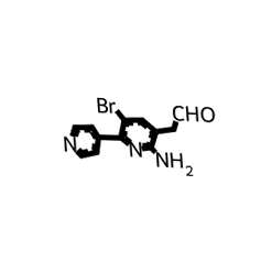 Nc1nc(-c2ccncc2)c(Br)cc1CC=O